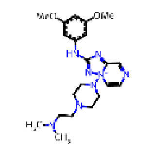 COc1cc(NC2=N[N+]3(N4CCN(CCN(C)C)CC4)C=CN=CC3=N2)cc(OC)c1